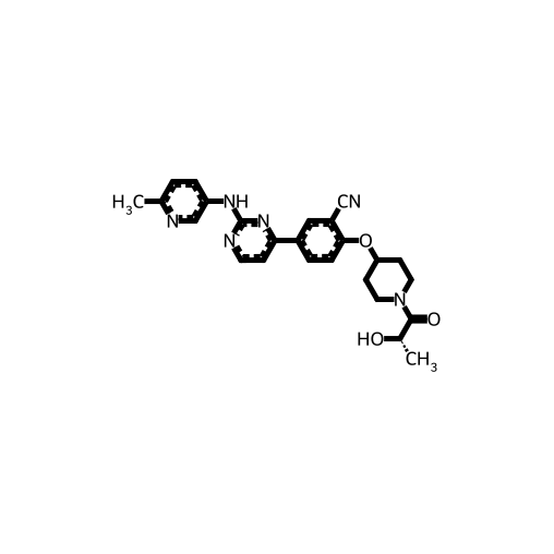 Cc1ccc(Nc2nccc(-c3ccc(OC4CCN(C(=O)[C@H](C)O)CC4)c(C#N)c3)n2)cn1